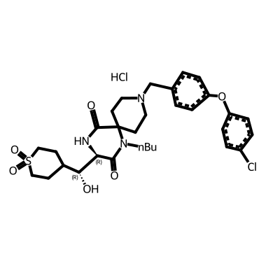 CCCCN1C(=O)[C@@H]([C@H](O)C2CCS(=O)(=O)CC2)NC(=O)C12CCN(Cc1ccc(Oc3ccc(Cl)cc3)cc1)CC2.Cl